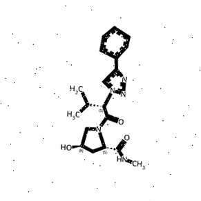 CNC(=O)[C@@H]1C[C@@H](O)CN1C(=O)[C@H](C(C)C)n1cc(-c2ccccc2)nn1